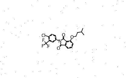 CC(C)CCOc1cccc2c1C(=O)N(c1ccc(Cl)c(C(F)(F)F)c1)C2=O